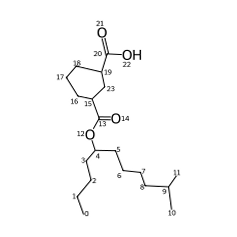 CCCCC(CCCCC(C)C)OC(=O)C1CCCC(C(=O)O)C1